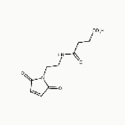 O=C(O)CCC(=O)NCCN1C(=O)C=CC1=O